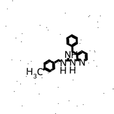 Cc1ccc(CNC(=N)Nc2ncccc2Cc2ccccc2)cc1